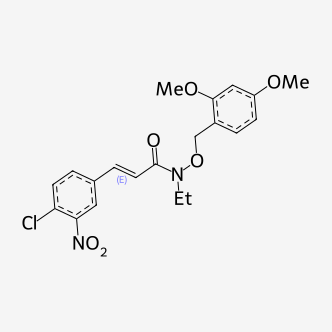 CCN(OCc1ccc(OC)cc1OC)C(=O)/C=C/c1ccc(Cl)c([N+](=O)[O-])c1